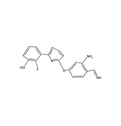 N=Cc1ccc(Oc2cccc(-c3cccc(O)c3F)n2)cc1N